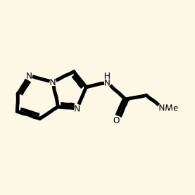 CNCC(=O)Nc1cn2ncccc2n1